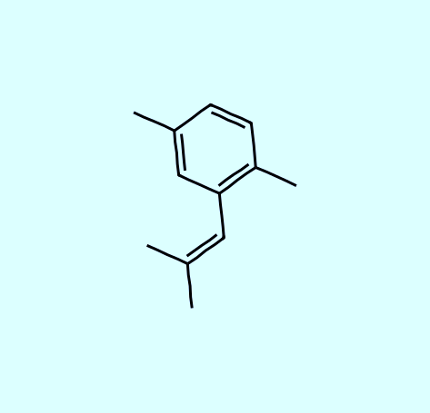 CC(C)=Cc1cc(C)ccc1C